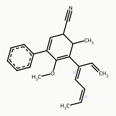 C=C/C(=C\C=C/C)C1=C(OC)C(c2ccccc2)=CC(C#N)C1C